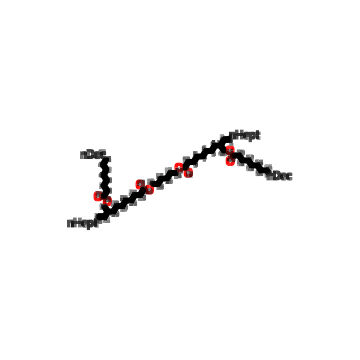 CCCCCCCC=CC(CCCCCCCC(=O)OCCCCCCOC(=O)CCCCCCCC(/C=C/CCCCCCC)COC(=O)CCCCCCCCCCCCCCCCC)COC(=O)CCCCCCCCCCCCCCCCC